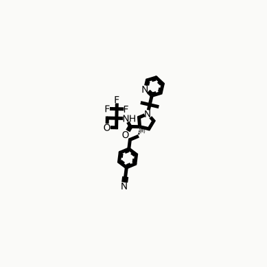 CC(C)(c1ccccn1)N1CC[C@@](CCc2ccc(C#N)cc2)(C(=O)NC2(C(F)(F)F)COC2)C1